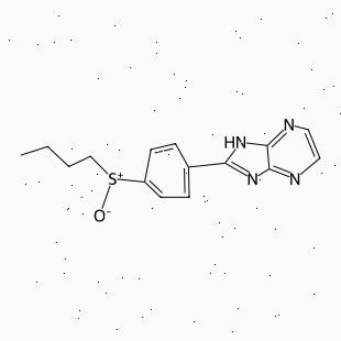 CCCC[S+]([O-])c1ccc(-c2nc3nccnc3[nH]2)cc1